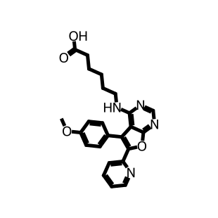 COc1ccc(-c2c(-c3ccccn3)oc3ncnc(NCCCCCC(=O)O)c23)cc1